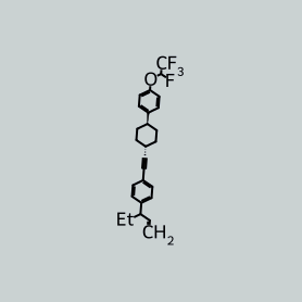 C=CC(CC)c1ccc(C#C[C@H]2CC[C@H](c3ccc(OC(F)C(F)(F)F)cc3)CC2)cc1